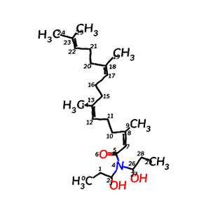 CCC(O)N(C(=O)C=C(C)CCC=C(C)CCC=C(C)CCC=C(C)C)C(O)CC